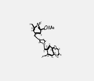 COc1cc(CC2CCN(Cc3cc4c(cc3F)OCCO4)C2)cc(C)n1